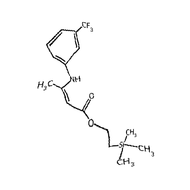 C/C(=C/C(=O)OCC[Si](C)(C)C)Nc1cccc(C(F)(F)F)c1